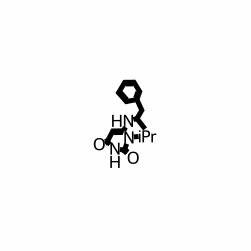 CC(Cc1ccccc1)Nc1cc(=O)[nH]c(=O)n1C(C)C